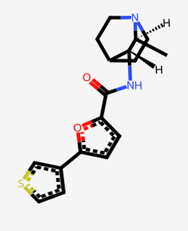 C[C@H]1[C@H](NC(=O)c2ccc(-c3ccsc3)o2)C2CCN1CC2